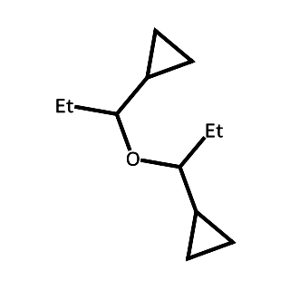 CCC(OC(CC)C1CC1)C1CC1